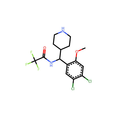 COc1cc(Cl)c(Cl)cc1C(NC(=O)C(F)(F)F)C1CCNCC1